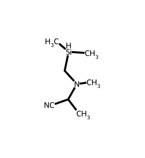 CC(C#N)N(C)C[SiH](C)C